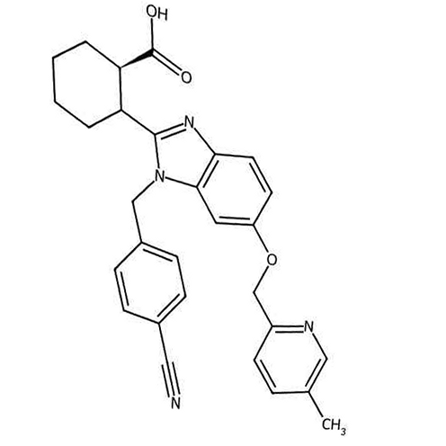 Cc1ccc(COc2ccc3nc(C4CCCC[C@H]4C(=O)O)n(Cc4ccc(C#N)cc4)c3c2)nc1